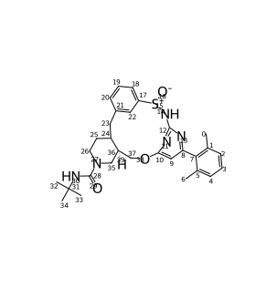 Cc1cccc(C)c1-c1cc2nc(n1)N[S+]([O-])c1cccc(c1)CC1CCN(C(=O)NC(C)(C)C)C[C@@H]1CO2